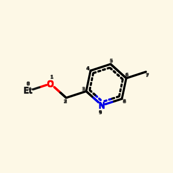 CCOCc1ccc(C)cn1